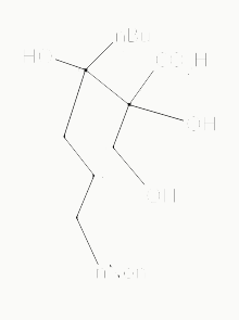 CCCCCCCCCCCCC(O)(CCCC)C(O)(CO)C(=O)O